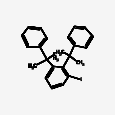 [C]c1cccc(C(C)(C)c2ccccc2)c1C(C)(C)c1ccccc1